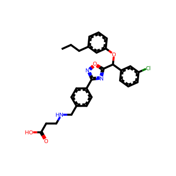 CCCc1cccc(OC(c2cccc(Cl)c2)c2nc(-c3ccc(CNCCC(=O)O)cc3)no2)c1